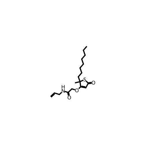 C=CCNC(=O)COC1=CC(=O)SC1(C)CCCCCCCC